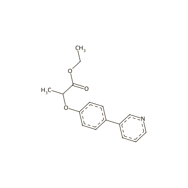 CCOC(=O)C(C)Oc1ccc(-c2cccnc2)cc1